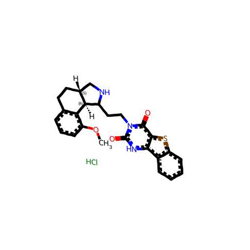 COc1cccc2c1[C@@H]1C(CCn3c(=O)[nH]c4c(sc5ccccc54)c3=O)NC[C@H]1CC2.Cl